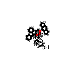 O=C(Nc1c2c(cc3c1CCC3)CCC2)N[S@@](=O)(=NC(c1ccccc1)(c1ccccc1)c1ccccc1)c1cnn2c1OC[C@@H](O)C2